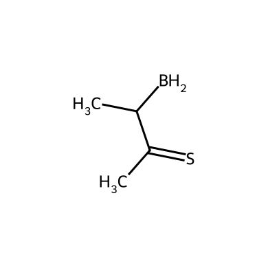 BC(C)C(C)=S